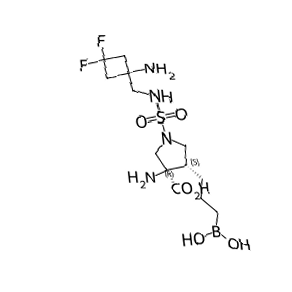 NC1(CNS(=O)(=O)N2C[C@H](CCCB(O)O)[C@](N)(C(=O)O)C2)CC(F)(F)C1